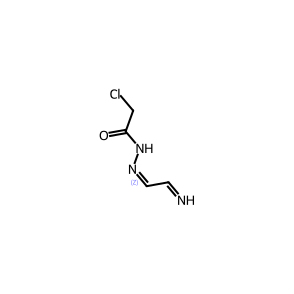 N=C/C=N\NC(=O)CCl